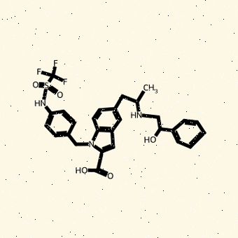 CC(Cc1ccc2c(c1)cc(C(=O)O)n2Cc1ccc(NS(=O)(=O)C(F)(F)F)cc1)NCC(O)c1ccccc1